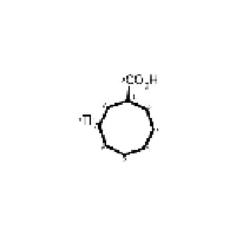 O=C(O)C1CCCCCCC1.[Tl]